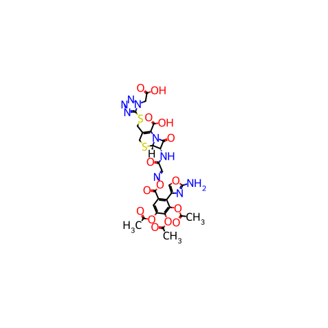 CC(=O)Oc1cc(C(=O)ON=CC(=O)N[C@H]2C(=O)N3C(C(=O)O)=C(CSc4nnnn4CC(=O)O)CS[C@@H]23)c(-c2coc(N)n2)c(OC(C)=O)c1OC(C)=O